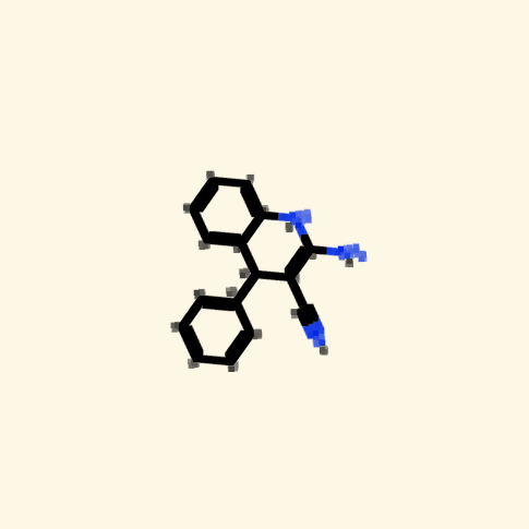 N#CC1=C(N)Nc2ccccc2C1c1ccccc1